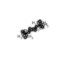 Cc1cccc(C)c1-c1nc(-c2ccc3c(c2)c2cccc4c5cc6c7ccc(-c8nc(-c9c(C)cccc9C)nc(-c9c(C)cccc9C)n8)cc7c7cccc(c5cc3c24)c76)nc(-c2c(C)cccc2C)n1